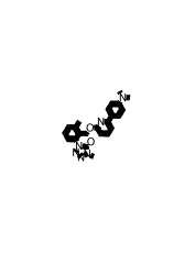 Cc1cccc(-n2nnn(C)c2=O)c1COc1cccc(-c2ccc(N(C)C)cc2)n1